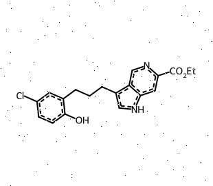 CCOC(=O)c1cc2[nH]cc(CCCc3cc(Cl)ccc3O)c2cn1